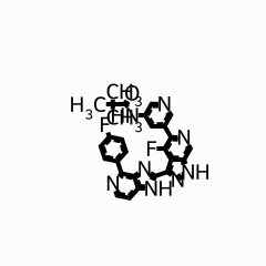 CC(C)(C)C(=O)Nc1cncc(-c2ncc3[nH]nc(-c4nc5c(-c6ccc(F)cc6)nccc5[nH]4)c3c2F)c1